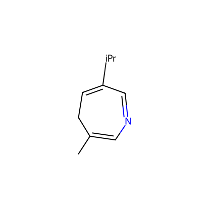 CC1=CN=CC(C(C)C)=CC1